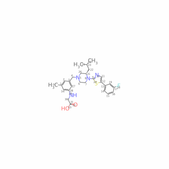 Cc1cc(CN2CCN(c3ncc(-c4cccc(F)c4)s3)[C@H](CC(C)C)C2)cc(NCC(=O)O)c1